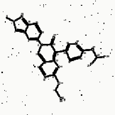 Cn1cc2cc(-n3cc4cnc(OCC(F)(F)F)nc4c(-c4ccc(OC(F)F)nc4)c3=O)ccc2n1